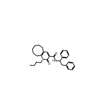 CCCCn1c2c(cc(C(=O)NC(Cc3ccccc3)c3ccccc3)c1=O)CCCCCC2